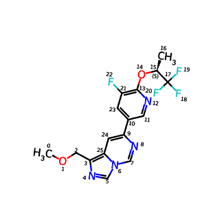 COCc1ncn2cnc(-c3cnc(O[C@@H](C)C(F)(F)F)c(F)c3)cc12